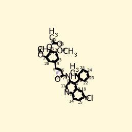 COc1cc(/C=C/C(=O)Nc2cnc3ccc(Cl)cc3c2-c2ccccc2C)cc(OC)c1OC(C)=O